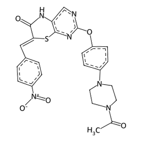 CC(=O)N1CCN(c2ccc(Oc3ncc4c(n3)SC(=Cc3ccc([N+](=O)[O-])cc3)C(=O)N4)cc2)CC1